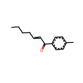 CCCCC=CC(=O)c1ccc(C)cc1